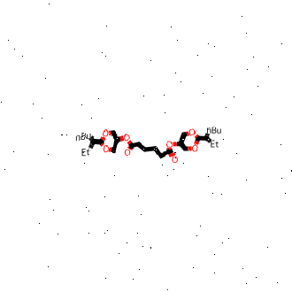 CCCCC(CC)C1OCC(OC(=O)CCCCC(=O)OC2COC(C(CC)CCCC)OC2)CO1